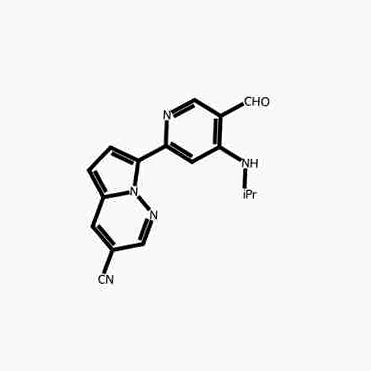 CC(C)Nc1cc(-c2ccc3cc(C#N)cnn23)ncc1C=O